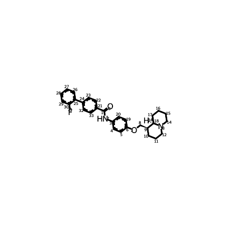 O=C(Nc1ccc(OC[C@@H]2CCCN3CCCC[C@H]23)cc1)c1ccc(-c2ccccc2F)cc1